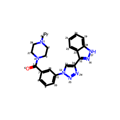 CC(C)N1CCN(C(=O)c2cccc(-n3cc(-c4n[nH]c5ccccc45)nn3)c2)CC1